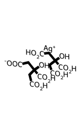 O=C(O)CC(O)(CC(=O)O)C(=O)O.O=C([O-])CC(O)(CC(=O)O)C(=O)O.[Ag+]